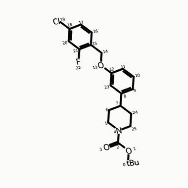 CC(C)(C)OC(=O)N1CCC(c2cccc(OCc3ccc(Cl)cc3F)c2)CC1